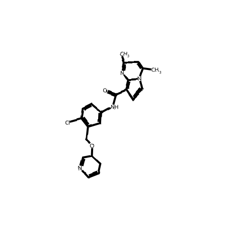 Cc1cc(C)n2ccc(C(=O)Nc3ccc(Cl)c(COC4C=NC=CC4)c3)c2n1